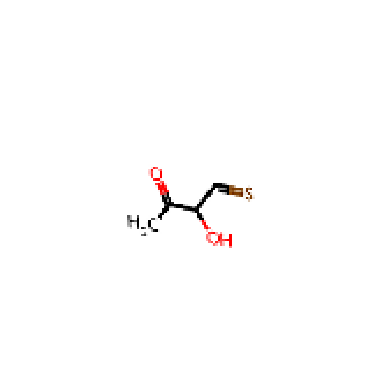 CC(=O)C(O)C=S